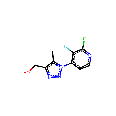 Cc1c(CO)nnn1-c1ccnc(Cl)c1F